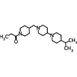 CCC(=O)N1CCC(CN2CCC(N3CCC(C(C)C)CC3)CC2)CC1